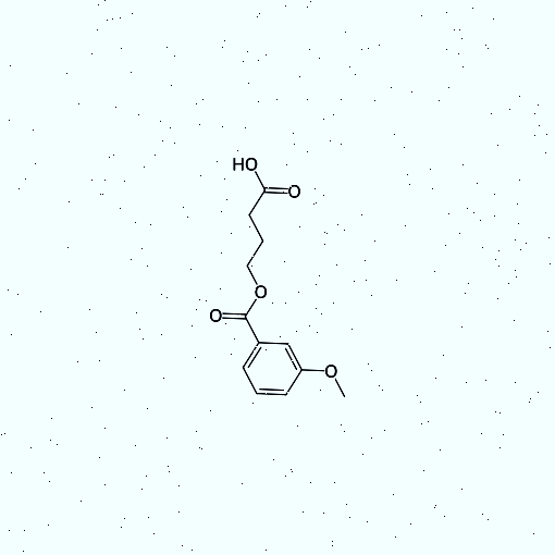 COc1cccc(C(=O)OCCCC(=O)O)c1